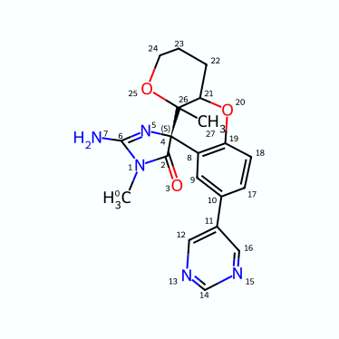 CN1C(=O)[C@]2(N=C1N)c1cc(-c3cncnc3)ccc1OC1CCCOC12C